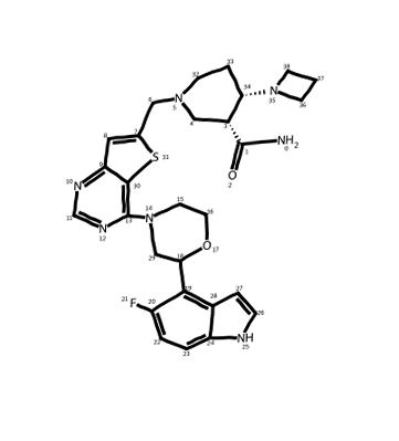 NC(=O)[C@@H]1CN(Cc2cc3ncnc(N4CCOC(c5c(F)ccc6[nH]ccc56)C4)c3s2)CC[C@@H]1N1CCC1